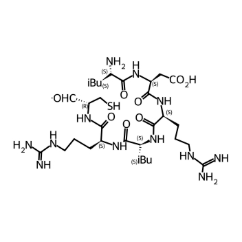 CC[C@H](C)[C@H](N)C(=O)N[C@@H](CC(=O)O)C(=O)N[C@@H](CCCNC(=N)N)C(=O)N[C@H](C(=O)N[C@@H](CCCNC(=N)N)C(=O)N[C@H]([C]=O)CS)[C@@H](C)CC